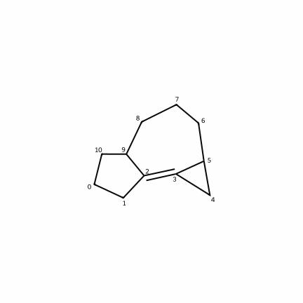 C1CC2=C3CC3CCCC2C1